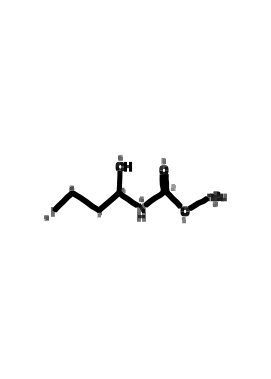 CCCCOC(=O)NC(O)CCI